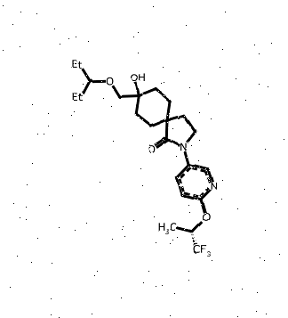 CCC(CC)OCC1(O)CCC2(CCN(c3ccc(O[C@@H](C)C(F)(F)F)nc3)C2=O)CC1